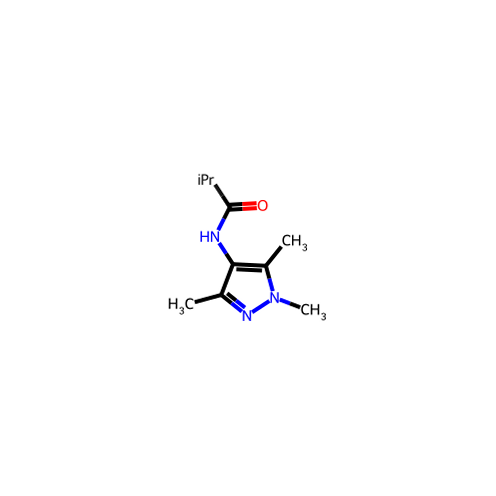 Cc1nn(C)c(C)c1NC(=O)C(C)C